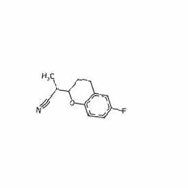 CC(C#N)C1CCc2cc(F)ccc2O1